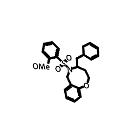 COc1ccccc1S(=O)(=O)N1Cc2ccccc2OCCC1CC1C=CC=CC1